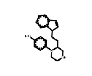 Oc1ccc(N2CCNCC2CCC2C=Cc3ccccc32)cc1